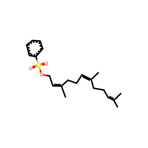 CC(C)=CCCC(C)=CCCC(C)=CCOS(=O)(=O)c1ccccc1